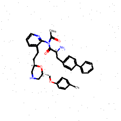 COC(=O)N(C(=O)[C@@H](N)Cc1ccc(-c2ccccc2)cc1)c1ncccc1CC[C@@H]1CNC[C@@H](COc2ccc(C#N)cc2)O1